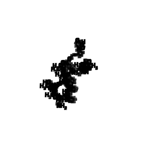 CC[C@@H]1C(=O)N(C)c2cnc(Nc3ccc(-c4cn([C@H]5CC[C@@H](N(CCOCCC#Cc6cccc7c6CN(C6CCC(=O)NC6=O)C7=O)C(=O)OC(C)C(C)SSC[C@H](N)C(=O)N[C@H](Cc6ccccc6)C(=O)N[C@H]6CSSC[C@@H](C(=O)N[C@H](CO)[C@@H](C)O)NC(=O)C([C@@H](C)O)NC(=O)[C@H](CCCCN)NC(=O)[C@@H](Cc7c[nH]c8ccccc78)NC(=O)[C@H](Cc7ccccc7)NC6=O)CC5)nn4)cc3OC)nc2N1C